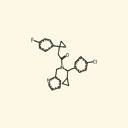 O=C(CC1(c2ccc(F)cc2)CC1)N(Cc1ccccn1)C(c1ccc(Cl)cc1)C1CC1